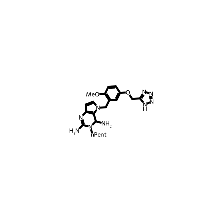 CCCCCN1C(N)=Nc2ccn(Cc3cc(OCc4nnn[nH]4)ccc3OC)c2C1N